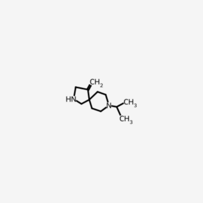 C=C1CNCC12CCN(C(C)C)CC2